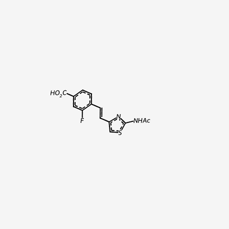 CC(=O)Nc1nc(C=Cc2ccc(C(=O)O)cc2F)cs1